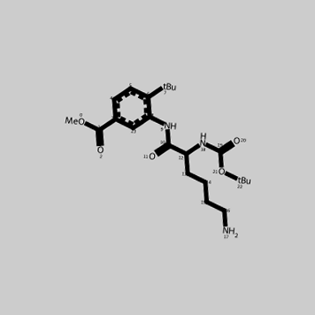 COC(=O)c1ccc(C(C)(C)C)c(NC(=O)C(CCCCN)NC(=O)OC(C)(C)C)c1